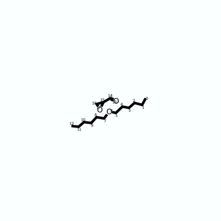 CCCCCCOCCCCCC.O=CC1CO1